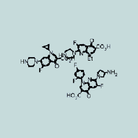 CCn1cc(C(=O)O)c(=O)c2cc(F)c(N3CCNCC3)nc21.NC1CCN(c2nc3c(cc2F)c(=O)c(C(=O)O)cn3-c2ccc(F)cc2F)C1.O=C(O)c1cn(C2CC2)c2cc(N3CCNCC3)c(F)cc2c1=O